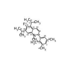 Cc1cc(C)c(C)c(-c2ccc3c(C(C)C)c(F)c(C(C)C)cc3[n+]2C)c1